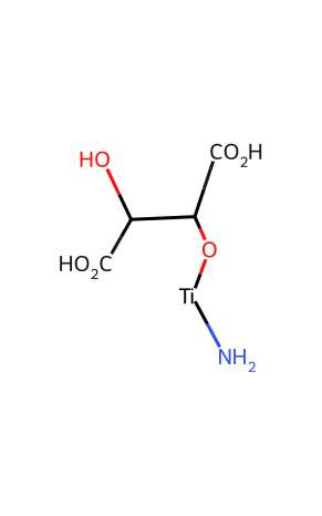 [NH2][Ti][O]C(C(=O)O)C(O)C(=O)O